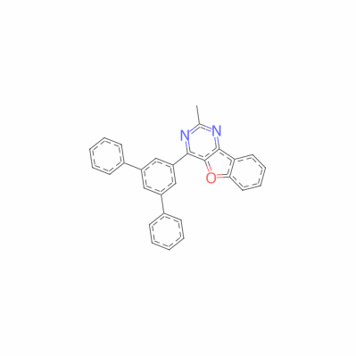 Cc1nc(-c2cc(-c3ccccc3)cc(-c3ccccc3)c2)c2oc3ccccc3c2n1